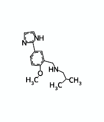 COc1ccc(-c2ncc[nH]2)cc1CNCC(C)C